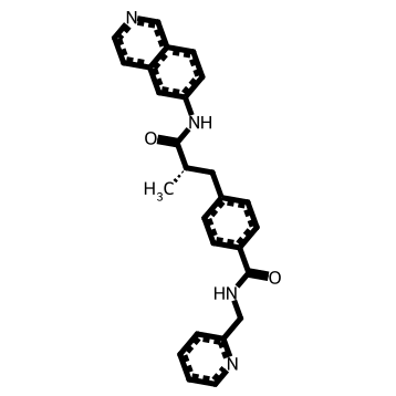 C[C@@H](Cc1ccc(C(=O)NCc2ccccn2)cc1)C(=O)Nc1ccc2cnccc2c1